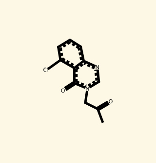 CC(=O)Cn1cnc2cccc(Cl)c2c1=O